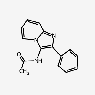 CC(=O)Nc1c(-c2ccccc2)nc2ccccn12